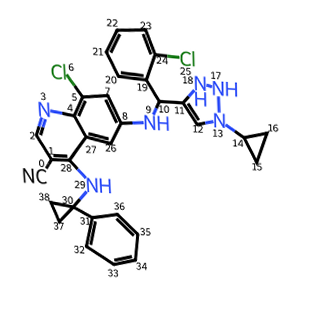 N#Cc1cnc2c(Cl)cc(NC(C3=CN(C4CC4)NN3)c3ccccc3Cl)cc2c1NC1(c2ccccc2)CC1